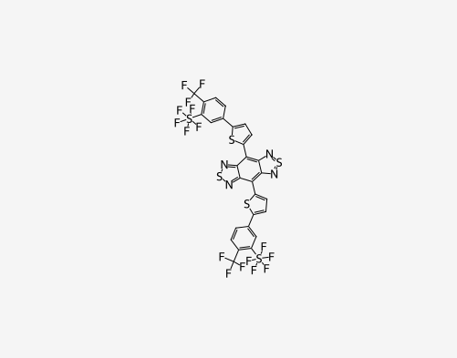 FC(F)(F)c1ccc(-c2ccc(-c3c4c(c(-c5ccc(-c6ccc(C(F)(F)F)c(S(F)(F)(F)(F)F)c6)s5)c5nsnc35)N=S=N4)s2)cc1S(F)(F)(F)(F)F